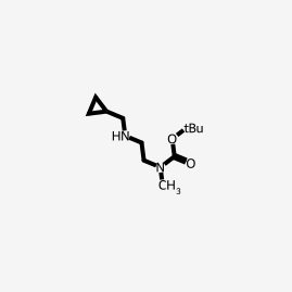 CN(CCNCC1CC1)C(=O)OC(C)(C)C